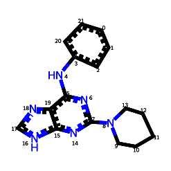 c1ccc(Nc2nc(N3CCCCC3)nc3[nH]cnc23)cc1